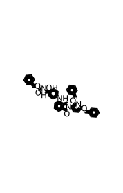 O=C(NCC1(O)CCC(Nc2cccc3c2CN(c2ccc(OCc4ccccc4)nc2OCc2ccccc2)C3=O)CC1)OCc1ccccc1